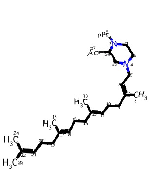 CCCN1CCN(C/C=C(\C)CC/C=C(\C)CC/C=C(\C)CCC=C(C)C)CC1C(C)=O